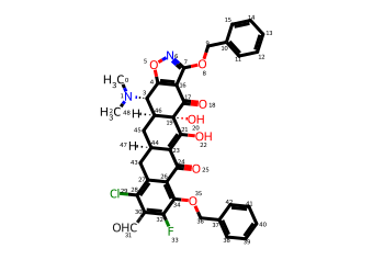 CN(C)[C@@H]1c2onc(OCc3ccccc3)c2C(=O)[C@@]2(O)C(O)=C3C(=O)c4c(c(Cl)c(C=O)c(F)c4OCc4ccccc4)C[C@H]3C[C@@H]12